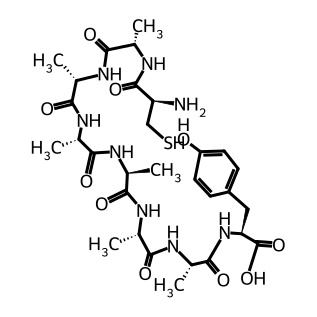 C[C@H](NC(=O)[C@H](C)NC(=O)[C@H](C)NC(=O)[C@H](C)NC(=O)[C@@H](N)CS)C(=O)N[C@@H](C)C(=O)N[C@@H](C)C(=O)N[C@@H](Cc1ccc(O)cc1)C(=O)O